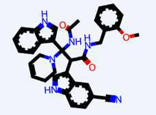 COc1ccccc1CNC(=O)C(c1c[nH]c2ccc(C#N)cc12)C(NC(C)=O)(c1c[nH]c2ccccc12)N1CC=CCC1